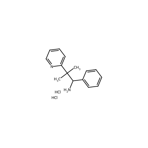 CC(C)(c1ccccn1)C(N)c1ccccc1.Cl.Cl